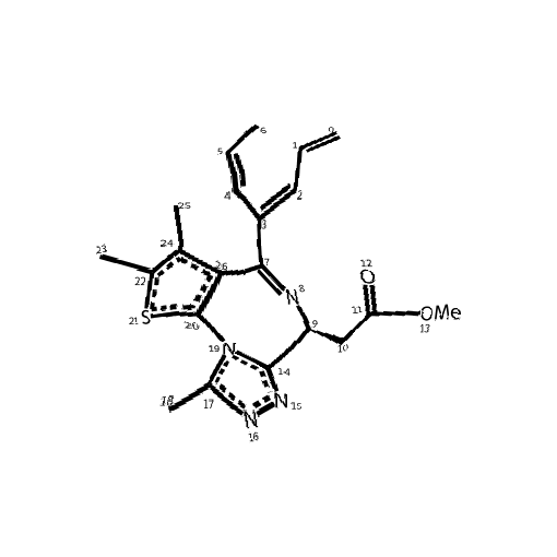 C=C/C=C(\C=C/C)C1=N[C@@H](CC(=O)OC)c2nnc(C)n2-c2sc(C)c(C)c21